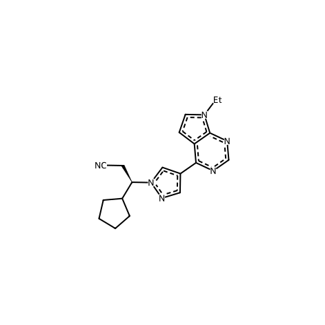 CCn1ccc2c(-c3cnn([C@H](CC#N)C4CCCC4)c3)ncnc21